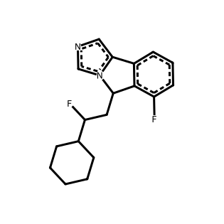 Fc1cccc2c1C(CC(F)C1CCCCC1)n1cncc1-2